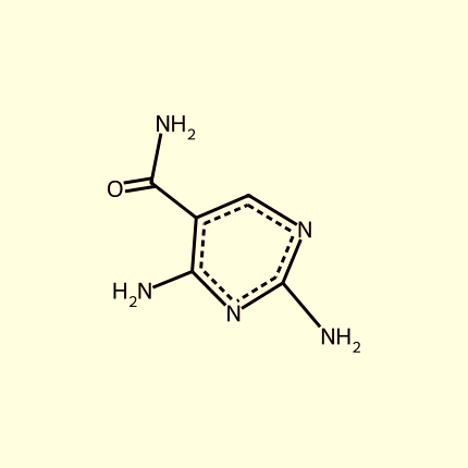 NC(=O)c1cnc(N)nc1N